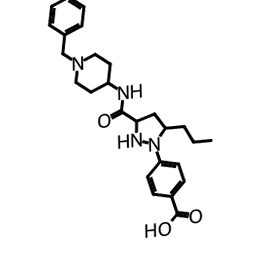 CCCC1CC(C(=O)NC2CCN(Cc3ccccc3)CC2)NN1c1ccc(C(=O)O)cc1